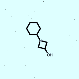 OC1CN(C2CCCCC2)C1